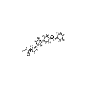 C=CC(=O)N1CC[C@@H](N2C=CN(c3ccc(OCc4ccccc4)cc3)C2)C1